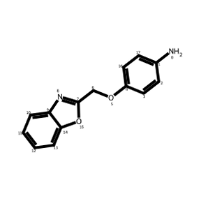 Nc1ccc(OCc2nc3ccccc3o2)cc1